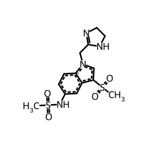 CS(=O)(=O)Nc1ccc2c(c1)c(S(C)(=O)=O)cn2CC1=NCCN1